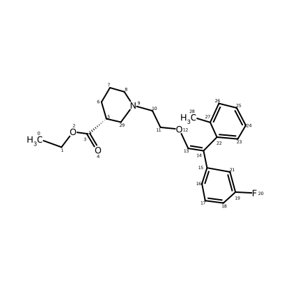 CCOC(=O)[C@@H]1CCCN(CCO/C=C(/c2cccc(F)c2)c2ccccc2C)C1